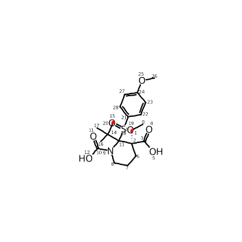 CC[C@]1(C(=O)O)CCCN(C(=O)O)C1(C(C)(C)C)S(=O)(=O)c1ccc(OC)cc1